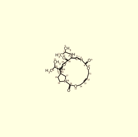 CC(C)NC12CN(C1)C(=O)OCC=CCOC(=O)N1CC[C@@](C(=O)C(C)C)(C1)NCC2=O